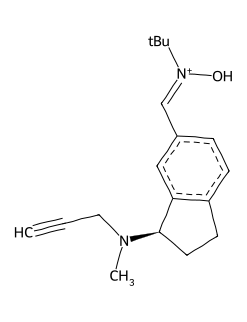 C#CCN(C)[C@@H]1CCc2ccc(/C=[N+](\O)C(C)(C)C)cc21